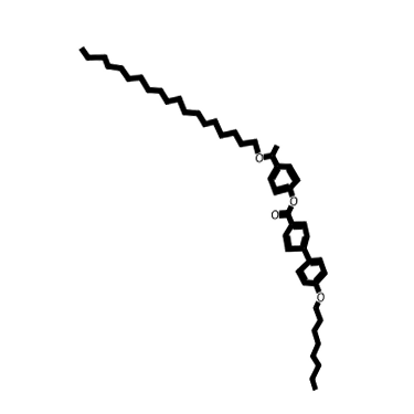 CCCCCCCCCCCCCCCCCCCOC(C)c1ccc(OC(=O)c2ccc(-c3ccc(OCCCCCCCC)cc3)cc2)cc1